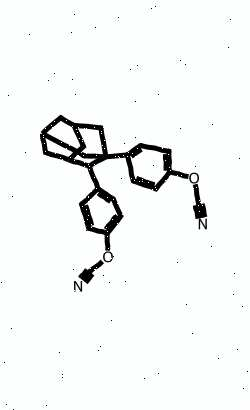 N#COc1ccc(C2C3CC4CC(C3)CC2(c2ccc(OC#N)cc2)C4)cc1